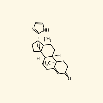 C[C@]12CC[C@H]3[C@@H](CCC4=CC(=O)CC[C@@]43C)[C@@H]1CC[C@@H]2c1ncc[nH]1